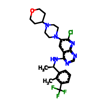 Cc1c([C@@H](C)Nc2ncnc3nc(Cl)c(N4CCN(C5CCOCC5)CC4)cc23)cccc1C(F)(F)F